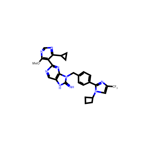 COc1ncnc(C2CC2)c1-c1ncc2[nH]c(=N)n(Cc3ccc(-c4nc(C(F)(F)F)cn4C4CCC4)cc3)c2n1